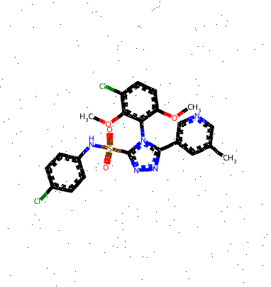 COc1ccc(Cl)c(OC)c1-n1c(-c2cncc(C)c2)nnc1S(=O)(=O)Nc1ccc(Cl)cc1